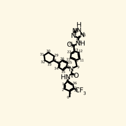 Cc1ccc(NC(=O)N(Cc2ccc(C(=O)Nc3nn[nH]n3)cc2)c2ccc(C3CCCCC3)cc2)cc1C(F)(F)F